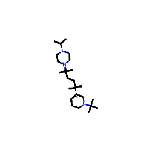 CC(C)N1CCN(C(C)(C)CCC(C)(C)[C@@H]2CCCN(C(C)(C)C)C2)CC1